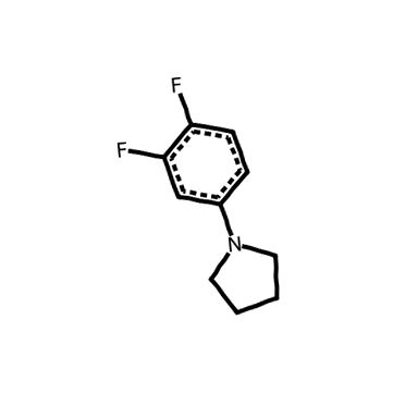 Fc1ccc(N2CCCC2)cc1F